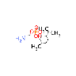 C=C(C)C1CCC(C)CC1OP(=O)(O)OCCN